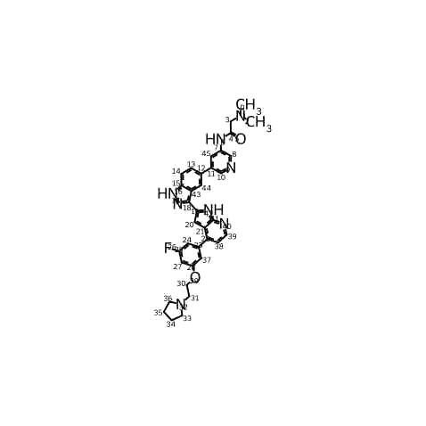 CN(C)CC(=O)Nc1cncc(-c2ccc3[nH]nc(-c4cc5c(-c6cc(F)cc(OCCN7CCCC7)c6)ccnc5[nH]4)c3c2)c1